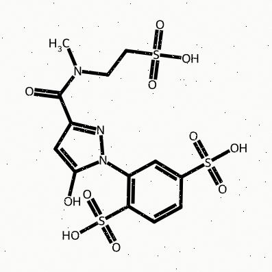 CN(CCS(=O)(=O)O)C(=O)c1cc(O)n(-c2cc(S(=O)(=O)O)ccc2S(=O)(=O)O)n1